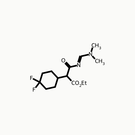 CCOC(=O)C(C(=O)/N=C/N(C)C)C1CCC(F)(F)CC1